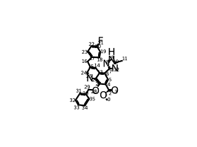 COC(=O)c1cc(-c2n[nH]c(C)n2)c2cc(Cc3ccc(F)cc3)cnc2c1OCc1ccccc1